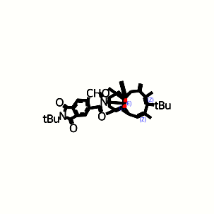 C=C1/C(C)=C(C(C)(C)C)\C(C)=C/C2/C=C(C)\C(N(C)C(=O)c3cc4c(cc3C=O)C(=O)N(C(C)(C)C)C4=O)=C(\C)C(=C)C1C1CCCCC21